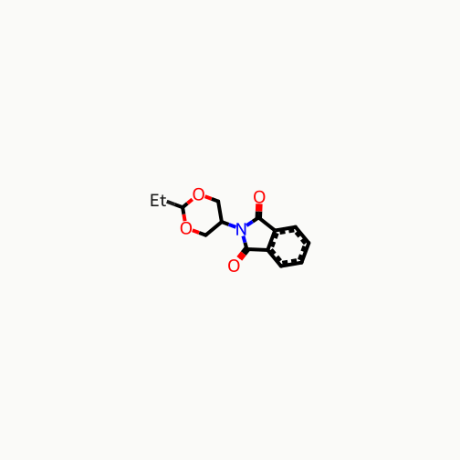 CCC1OCC(N2C(=O)c3ccccc3C2=O)CO1